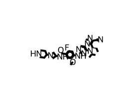 CC[C@@H]1c2c(C#N)ncn2-c2cnc(Nc3cc(F)c(C(=O)NC4CN(C5CCNCC5)C4)cc3OC)nc2N1C(C)C